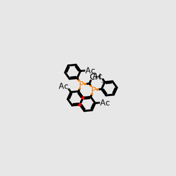 CC(=O)c1ccccc1P(c1ccccc1C(C)=O)C(C)P(c1ccccc1C(C)=O)c1ccccc1C(C)=O